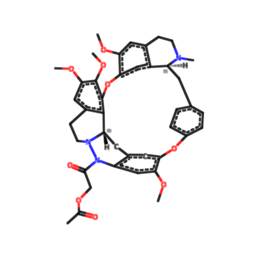 COc1cc2c3cc1Oc1ccc(cc1)C[C@H]1c4cc(c(OC)cc4CCN1C)Oc1c(OC)c(OC)cc4c1[C@H](C3)N(CC4)N2C(=O)COC(C)=O